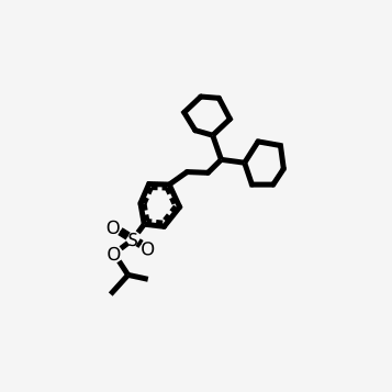 CC(C)OS(=O)(=O)c1ccc(CCC(C2CCCCC2)C2CCCCC2)cc1